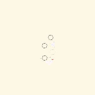 COc1ccc(CN(CC2CCC(C(C(N)=O)c3ccc(C)cc3)CC2)S(=O)(=O)c2ccccc2)cc1